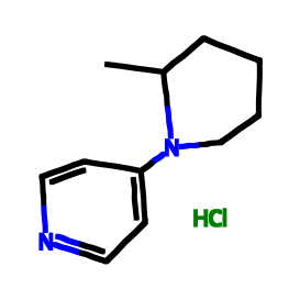 CC1CCCCN1c1ccncc1.Cl